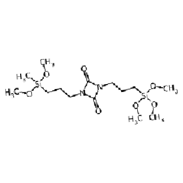 CO[Si](C)(CCCN1C(=O)N(CCC[Si](OC)(OC)OC)C1=O)OC